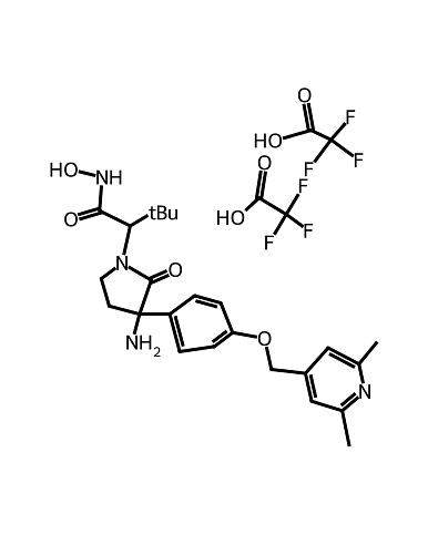 Cc1cc(COc2ccc(C3(N)CCN(C(C(=O)NO)C(C)(C)C)C3=O)cc2)cc(C)n1.O=C(O)C(F)(F)F.O=C(O)C(F)(F)F